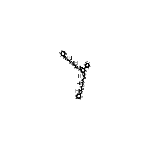 c1ccc(-c2cc(CNCCCNCCCNCC3CCCCC3)cc(CNCCCNCCCNCC3CCCCC3)c2)cc1